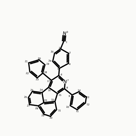 N#Cc1ccc(-c2nc(-c3ccccc3)c3c(c2-c2ccccc2)-c2cccc4cccc-3c24)cc1